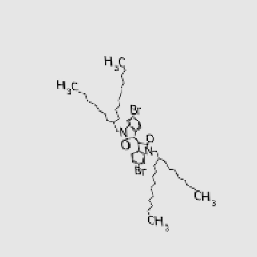 CCCCCCCCCCC(CCCCCCCC)CN1C(=O)/C(=C2/C(=O)N(CC(CCCCCCCC)CCCCCCCCCC)c3cc(Br)ccc32)c2ccc(Br)cc21